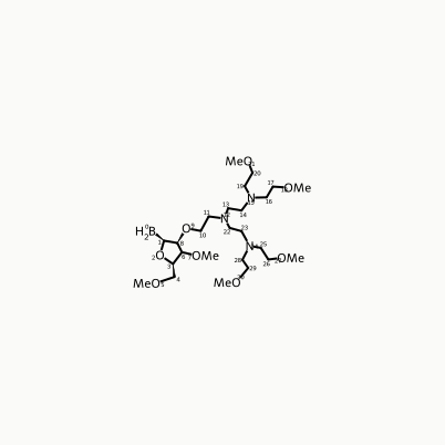 B[C@@H]1O[C@H](COC)C(OC)[C@@H]1OCCN(CCN(CCOC)CCOC)CCN(CCOC)CCOC